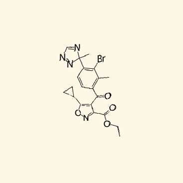 CCOC(=O)c1noc(C2CC2)c1C(=O)c1ccc(C2(C)N=CN=N2)c(Br)c1C